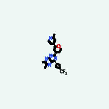 Cc1cc([C@@H]2C[C@@H](c3nc4nc(C)c(C)nc4c([C@H]4C[C@H](C(F)(F)F)C4)n3)CCO2)ccn1